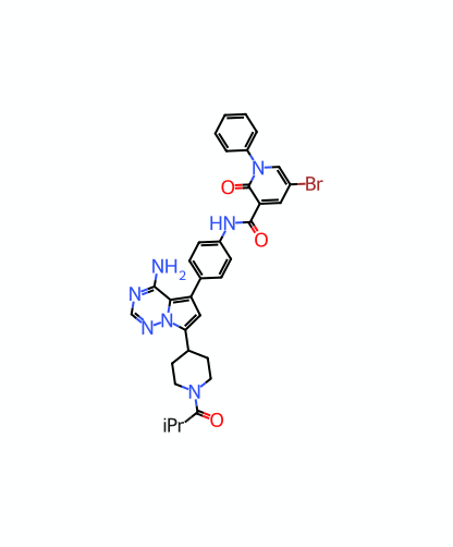 CC(C)C(=O)N1CCC(c2cc(-c3ccc(NC(=O)c4cc(Br)cn(-c5ccccc5)c4=O)cc3)c3c(N)ncnn23)CC1